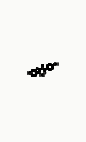 Cl.O=C(Nc1nc2c(s1)CNCC2)C1CCC(O)CC1